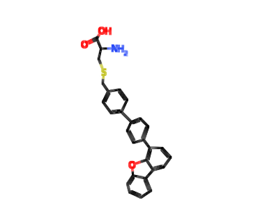 NC(CSCc1ccc(-c2ccc(-c3cccc4c3oc3ccccc34)cc2)cc1)C(=O)O